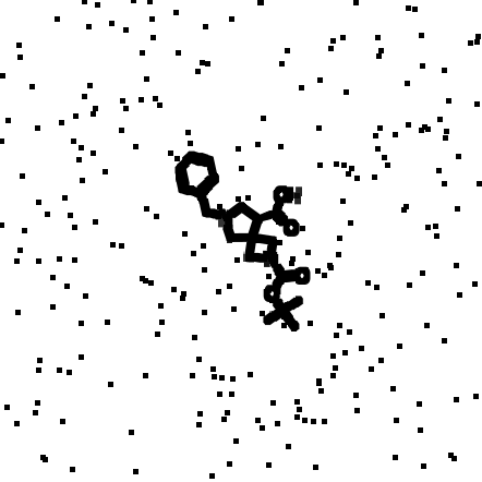 CC(C)(C)OC(=O)N1CC2(CN(Cc3ccccc3)C[C@H]2C(=O)O)C1